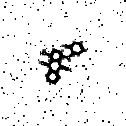 O=C1c2ccccc2C(=O)c2c(OC3=CC=CCC3=S)ccc(O)c21